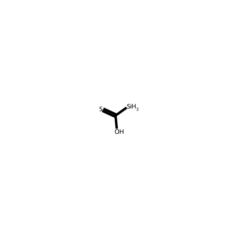 OC([SiH3])=S